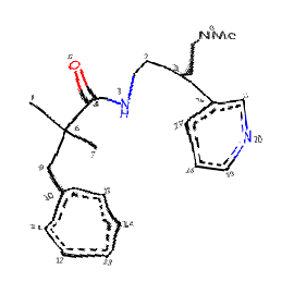 CNC(CNC(=O)C(C)(C)Cc1ccccc1)c1cccnc1